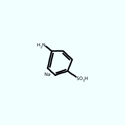 Nc1ccc(S(=O)(=O)O)cc1.[Na]